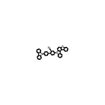 N#Cc1cc(-n2c3ccccc3c3c4c(ccc32)sc2ccccc24)ccc1-c1ccc(-n2c3ccccc3c3ccccc32)cc1